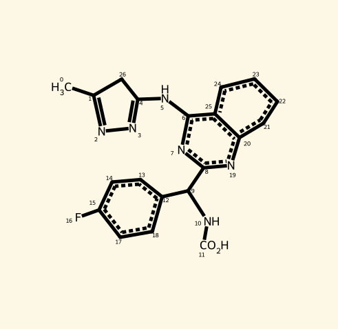 CC1=NN=C(Nc2nc(C(NC(=O)O)c3ccc(F)cc3)nc3ccccc23)C1